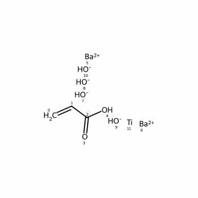 C=CC(=O)O.[Ba+2].[Ba+2].[OH-].[OH-].[OH-].[OH-].[Ti]